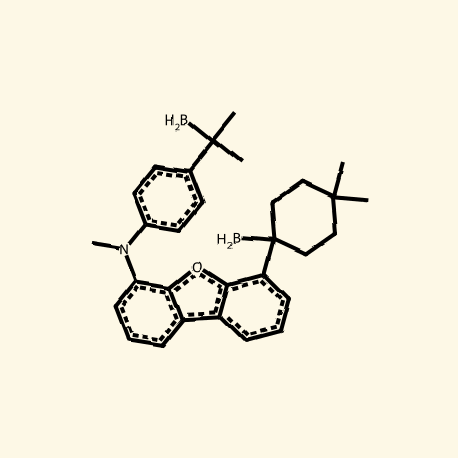 BC(C)(C)c1ccc(N(C)c2cccc3c2oc2c(C4(B)CCC(C)(C)CC4)cccc23)cc1